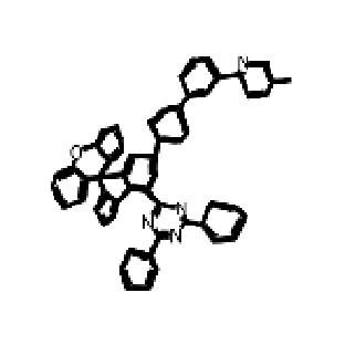 Cc1ccc(-c2cccc(-c3ccc(-c4cc(-c5nc(-c6ccccc6)nc(-c6ccccc6)n5)c5c(c4)C4(c6ccccc6Oc6ccccc64)c4ccccc4-5)cc3)c2)nc1